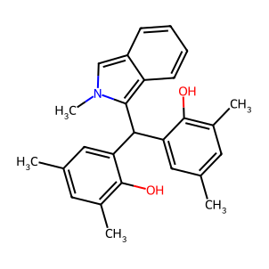 Cc1cc(C)c(O)c(C(c2cc(C)cc(C)c2O)c2c3ccccc3cn2C)c1